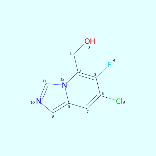 OCc1c(F)c(Cl)cc2cncn12